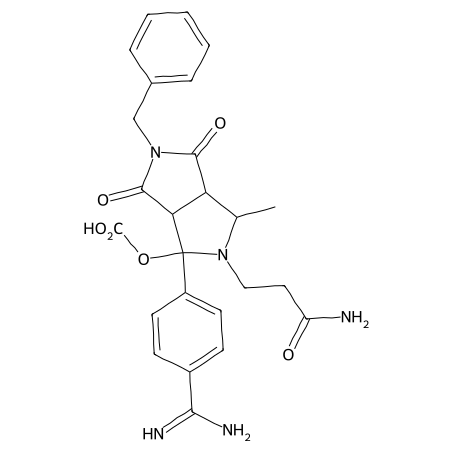 CC1C2C(=O)N(Cc3ccccc3)C(=O)C2C(OC(=O)O)(c2ccc(C(=N)N)cc2)N1CCC(N)=O